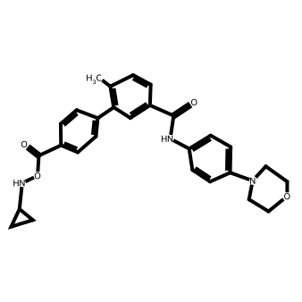 Cc1ccc(C(=O)Nc2ccc(N3CCOCC3)cc2)cc1-c1ccc(C(=O)ONC2CC2)cc1